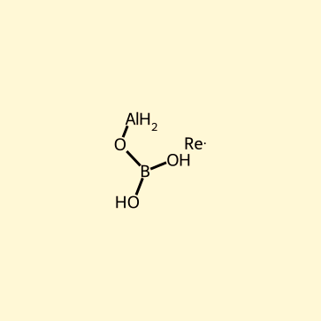 OB(O)[O][AlH2].[Re]